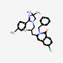 Cc1ccc(C2=NC(C)(C)CN2CC(C)Cc2cc3cc(Cl)ccc3c(=O)n2Cc2ccccc2)cc1